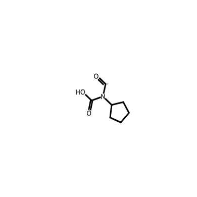 O=[C]N(C(=O)O)C1CCCC1